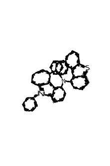 c1ccc(-c2cccc3c2c2c(N(c4ccccc4)c4cccc5sc6ccccc6c45)cccc2n3-c2ccccc2)cc1